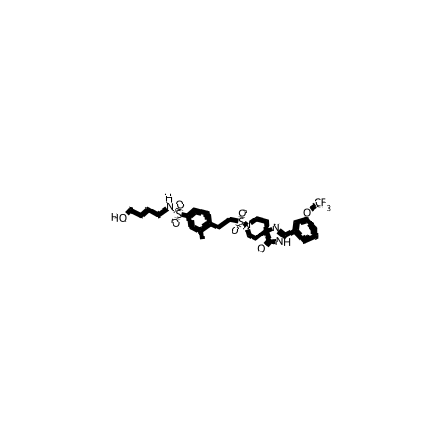 Cc1cc(S(=O)(=O)NCCCCO)ccc1CCS(=O)(=O)N1CCC2(CC1)N=C(c1cccc(OC(F)(F)F)c1)NC2=O